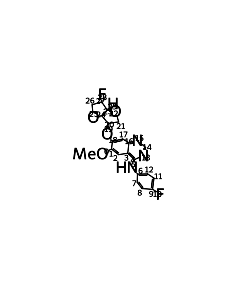 COc1cc2c(Nc3ccc(F)cc3)ncnc2cc1O[C@@H]1CO[C@@H]2C1OC[C@H]2F